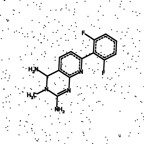 CN1C(N)=Nc2nc(-c3c(F)cccc3F)ccc2C1N